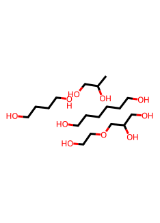 CC(O)CO.OCCCCCCO.OCCCCO.OCCOCC(O)CO